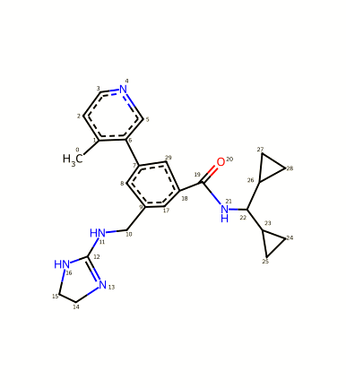 Cc1ccncc1-c1cc(CNC2=NCCN2)cc(C(=O)NC(C2CC2)C2CC2)c1